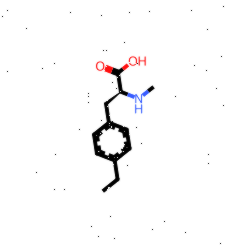 CCc1ccc(C[C@H](NC)C(=O)O)cc1